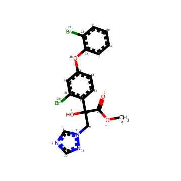 COC(=O)C(O)(Cn1cncn1)c1ccc(Oc2ccccc2Br)cc1Br